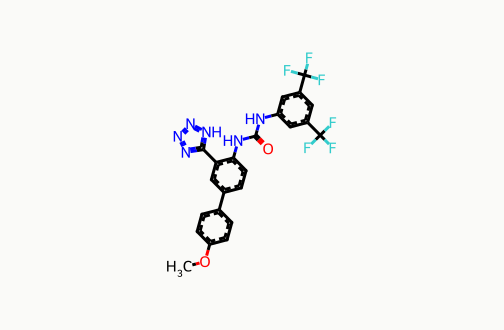 COc1ccc(-c2ccc(NC(=O)Nc3cc(C(F)(F)F)cc(C(F)(F)F)c3)c(-c3nnn[nH]3)c2)cc1